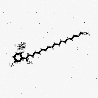 CCCCCCCCCCCCCCCCCCC(C)c1cc(C)ccc1OP(O)(O)(F)F